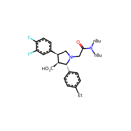 CCCCN(CCCC)C(=O)CN1C[C@H](c2ccc(F)c(F)c2)[C@H](C(=O)O)[C@H]1c1ccc(CC)cc1